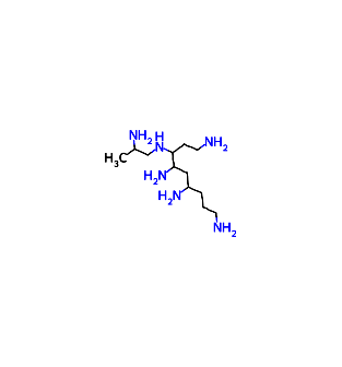 CC(N)CNC(CCN)C(N)CC(N)CCCN